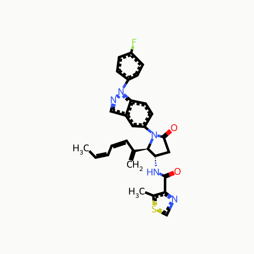 C=C(/C=C\C=C/C)[C@@H]1[C@@H](NC(=O)c2ncsc2C)CC(=O)N1c1ccc2c(cnn2-c2ccc(F)cc2)c1